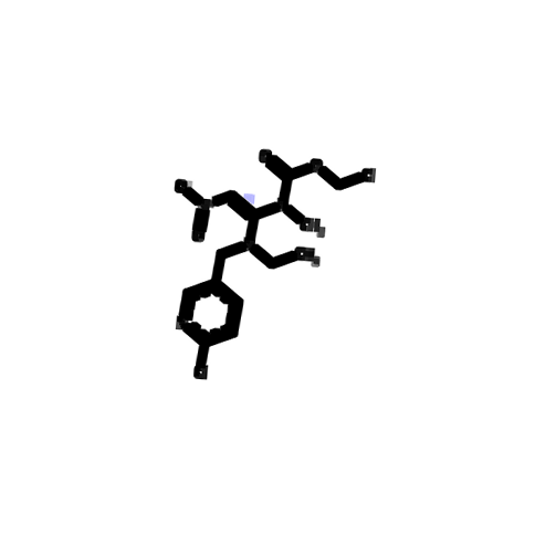 CCN(Cc1ccc(Cl)nc1)/C(=C\[N+](=O)[O-])N(C)C(=O)OCCl